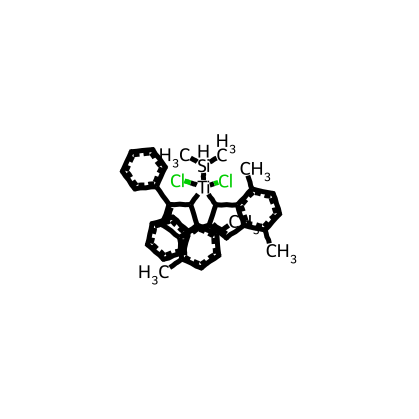 Cc1ccc(C)c2c1C=C(c1ccccc1)[CH]2[Ti]([Cl])([Cl])([CH]1C(c2ccccc2)=Cc2c(C)ccc(C)c21)[SiH](C)C